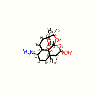 C[C@@H]1O[C@H]2OC(O)[C@H](C)[C@@H]3CC[C@@H](N)C4CC[C@@H]1OO[C@@]423